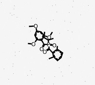 CCC(C)P(=O)(C(=O)c1c(C)cccc1C)C(=O)c1c(OC)cc(OC)cc1OC